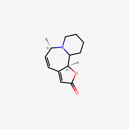 C[C@H]1C=CC2=CC(=O)O[C@]2(C)C2CCCCN21